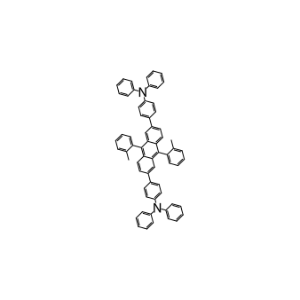 Cc1ccccc1-c1c2ccc(-c3ccc(N(c4ccccc4)c4ccccc4)cc3)cc2c(-c2ccccc2C)c2ccc(-c3ccc(N(c4ccccc4)c4ccccc4)cc3)cc12